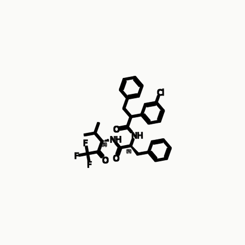 CC(C)[C@H](NC(=O)[C@H](Cc1ccccc1)NC(=O)C(Cc1ccccc1)c1cccc(Cl)c1)C(=O)C(F)(F)F